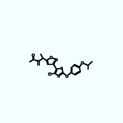 CC(=O)NC(C)c1cc(-c2sc(Oc3ccc(OC(C)C)cc3)nc2Cl)no1